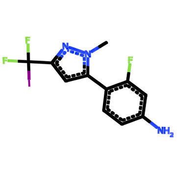 Cn1nc(C(F)(F)I)cc1-c1ccc(N)cc1F